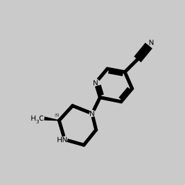 C[C@H]1CN(c2ccc(C#N)cn2)CCN1